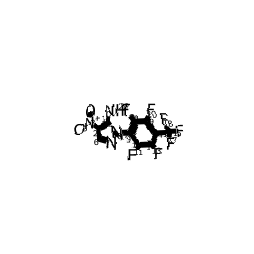 Nc1c([N+](=O)[O-])cnn1-c1c(F)c(F)c(C(F)(F)F)c(F)c1F